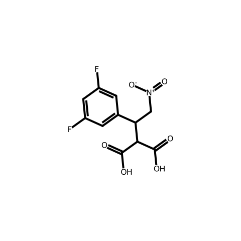 O=C(O)C(C(=O)O)C(C[N+](=O)[O-])c1cc(F)cc(F)c1